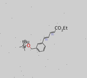 CCOC(=O)/C=C/C=C/c1cccc(CO[Si](C)(C)C(C)(C)C)c1